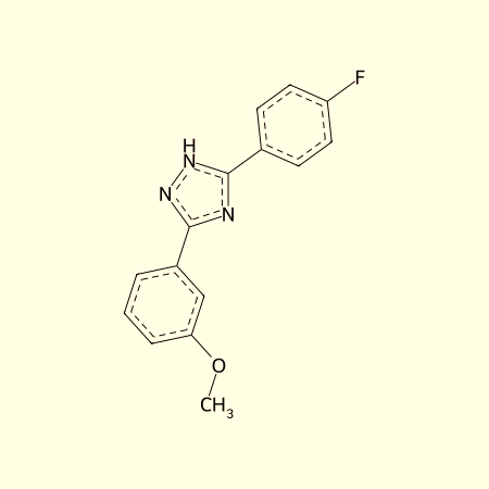 COc1cccc(-c2n[nH]c(-c3ccc(F)cc3)n2)c1